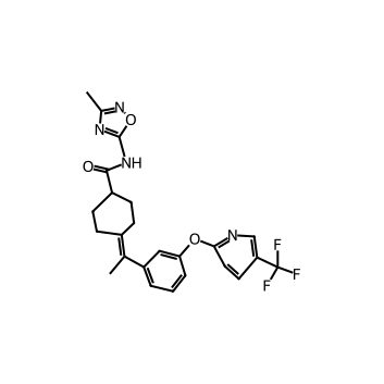 CC(=C1CCC(C(=O)Nc2nc(C)no2)CC1)c1cccc(Oc2ccc(C(F)(F)F)cn2)c1